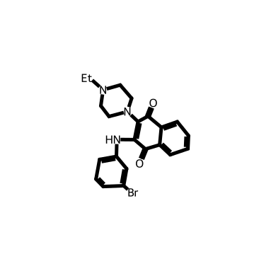 CCN1CCN(C2=C(Nc3cccc(Br)c3)C(=O)c3ccccc3C2=O)CC1